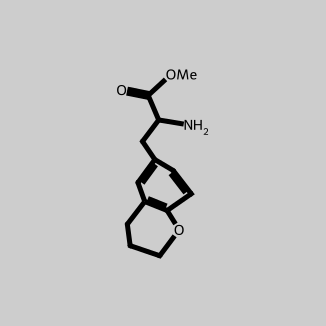 COC(=O)C(N)Cc1ccc2c(c1)CCCO2